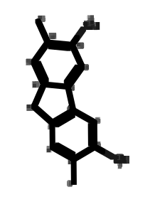 Cc1cc2c(cc1C(C)(C)C)-c1cc(C(C)(C)C)c(C)cc1[CH]2